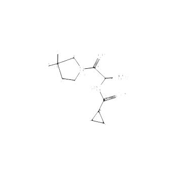 CSC(NC(=O)C1CC1)C(=O)N1CCC(C)(C)C1